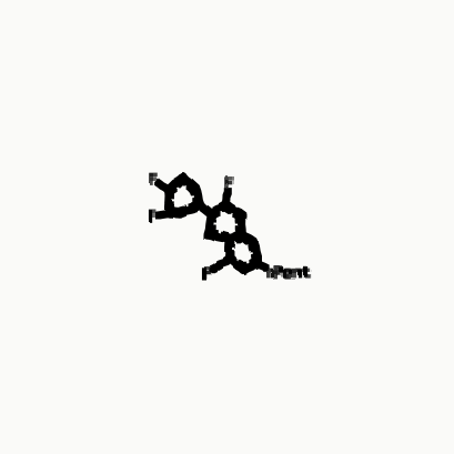 CCCCCc1cc(F)c2cc(-c3ccc(F)c(F)c3)c(F)cc2c1